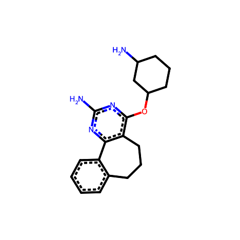 Nc1nc(OC2CCCC(N)C2)c2c(n1)-c1ccccc1CCC2